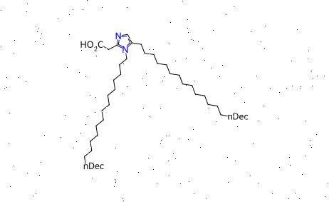 CCCCCCCCCCCCCCCCCCCCCCCCc1cnc(CC(=O)O)n1CCCCCCCCCCCCCCCCCCCCCCCC